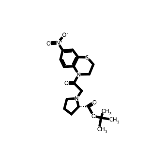 CC(C)(C)OC(=O)[C@@H]1CCCN1CC(=O)N1CCSc2cc([N+](=O)[O-])ccc21